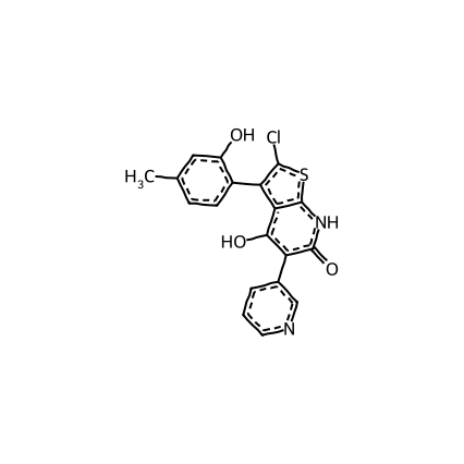 Cc1ccc(-c2c(Cl)sc3[nH]c(=O)c(-c4cccnc4)c(O)c23)c(O)c1